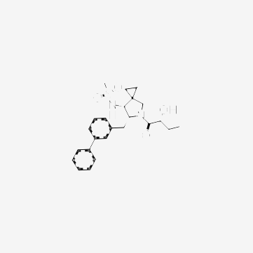 CC[C@@H](O)C(=O)N1CC2(CC2)[C@H](NS(C)(=O)=O)[C@@H]1Cc1cccc(-c2ccccc2)c1